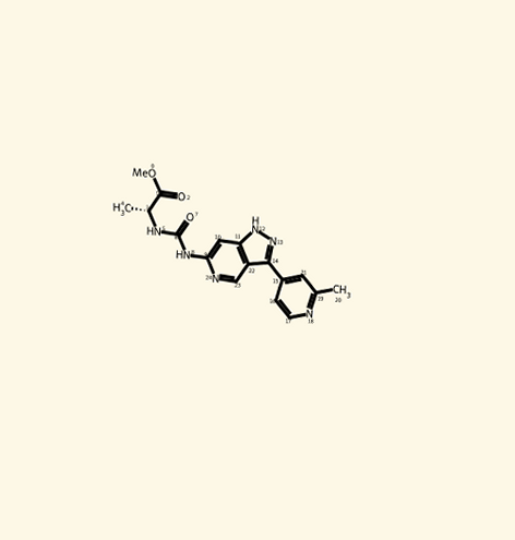 COC(=O)[C@@H](C)NC(=O)Nc1cc2[nH]nc(-c3ccnc(C)c3)c2cn1